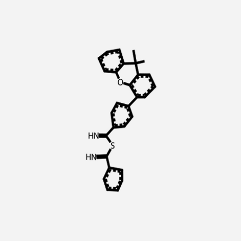 CC1(C)c2ccccc2Oc2c(-c3ccc(C(=N)SC(=N)c4ccccc4)cc3)cccc21